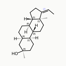 C/C=C1/CC[C@H]2[C@@H]3CC[C@@H]4C[C@](C)(O)CC[C@@H]4[C@H]3CC[C@]12C